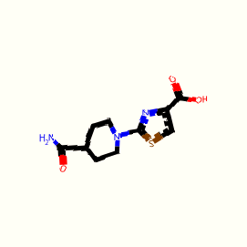 NC(=O)C1CCN(c2nc(C(=O)O)cs2)CC1